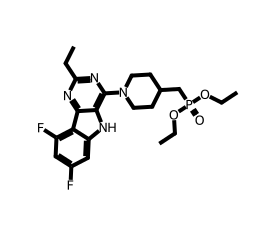 CCOP(=O)(CC1CCN(c2nc(CC)nc3c2[nH]c2cc(F)cc(F)c23)CC1)OCC